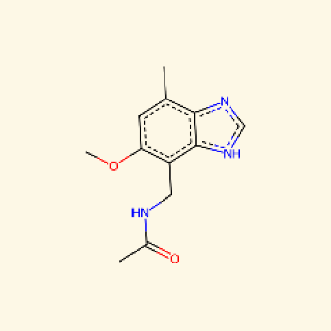 COc1cc(C)c2nc[nH]c2c1CNC(C)=O